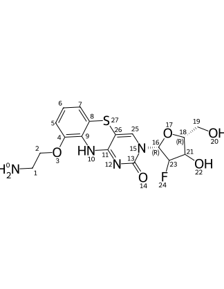 NCCOc1cccc2c1Nc1nc(=O)n([C@@H]3O[C@H](CO)C(O)C3F)cc1S2